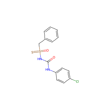 O=C(Nc1ccc(Cl)cc1)NS(=O)(=S)Cc1ccccc1